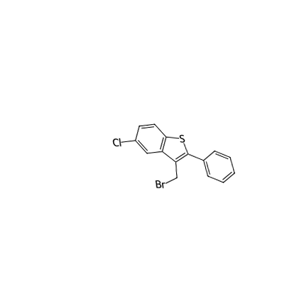 Clc1ccc2sc(-c3ccccc3)c(CBr)c2c1